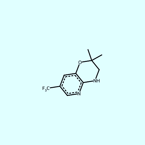 CC1(C)CNc2ncc(C(F)(F)F)cc2O1